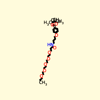 CCCOCCOCCOCCOCCOCCC(=O)NCCCCOc1ccc(B2OC(C)(C)C(C)(C)O2)cc1